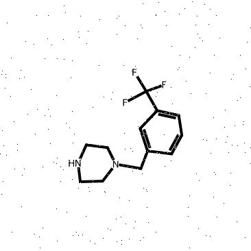 FC(F)(F)c1cccc(CN2CCNCC2)c1